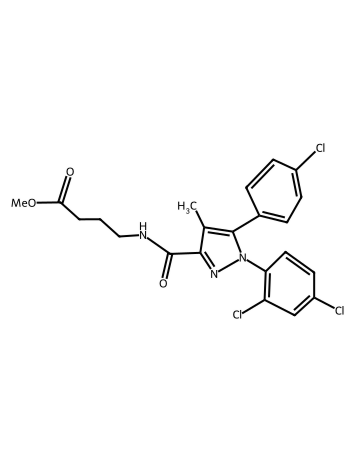 COC(=O)CCCNC(=O)c1nn(-c2ccc(Cl)cc2Cl)c(-c2ccc(Cl)cc2)c1C